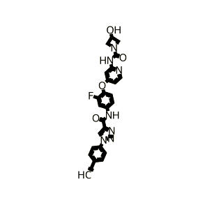 C#Cc1ccc(-n2cc(C(=O)Nc3ccc(Oc4ccnc(NC(=O)N5CC(O)C5)c4)c(F)c3)nn2)cc1